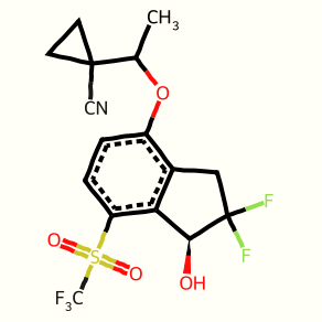 CC(Oc1ccc(S(=O)(=O)C(F)(F)F)c2c1CC(F)(F)[C@H]2O)C1(C#N)CC1